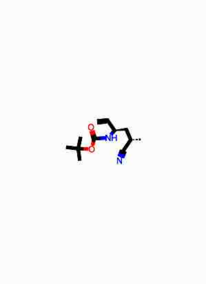 C=C[C@@H](C[C@H](C)C#N)NC(=O)OC(C)(C)C